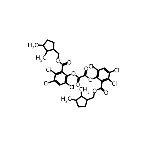 CC1CCC(COC(=O)c2c(Cl)c(Cl)cc(Cl)c2OC(=O)C(=O)Oc2c(Cl)cc(Cl)c(Cl)c2C(=O)OCC2CCC(C)C2C)C1C